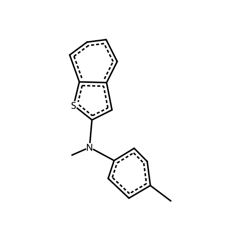 Cc1ccc(N(C)c2cc3ccccc3s2)cc1